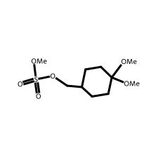 COC1(OC)CCC(COS(=O)(=O)OC)CC1